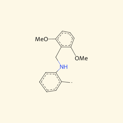 [CH2]c1ccccc1NCc1c(OC)cccc1OC